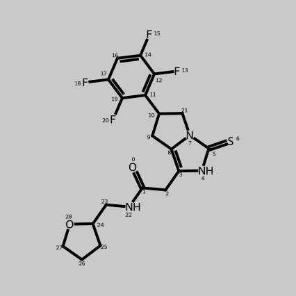 O=C(Cc1[nH]c(=S)n2c1CC(c1c(F)c(F)cc(F)c1F)C2)NCC1CCCO1